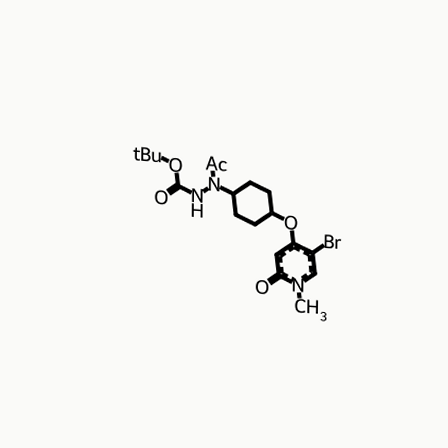 CC(=O)N(NC(=O)OC(C)(C)C)C1CCC(Oc2cc(=O)n(C)cc2Br)CC1